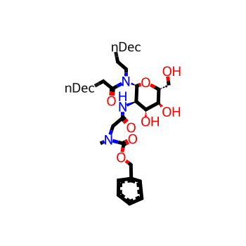 CCCCCCCCCCCCN(C(=O)CCCCCCCCCCC)[C@@H]1O[C@H](CO)[C@@H](O)[C@H](O)[C@H]1NC(=O)CN(C)C(=O)OCc1ccccc1